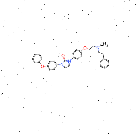 CN(CCOc1ccc(-n2ccn(-c3ccc(Oc4ccccc4)cc3)c2=O)cc1)CCc1ccccc1